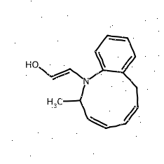 CC1/C=C\C=C/Cc2ccccc2N1/C=C/O